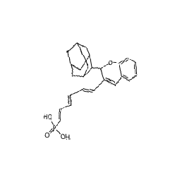 O=P(O)(O)/C=C/C=C/C=C/C1=Cc2ccccc2OC1C1C2CC3CC(C2)CC1C3